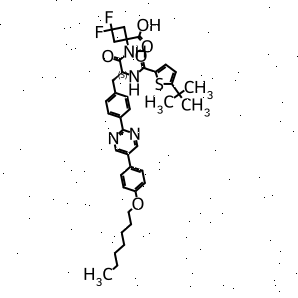 CCCCCCCOc1ccc(-c2cnc(-c3ccc(C[C@H](NC(=O)c4ccc(C(C)(C)C)s4)C(=O)NC4(C(=O)O)CC(F)(F)C4)cc3)nc2)cc1